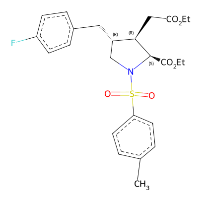 CCOC(=O)C[C@@H]1[C@@H](Cc2ccc(F)cc2)CN(S(=O)(=O)c2ccc(C)cc2)[C@@H]1C(=O)OCC